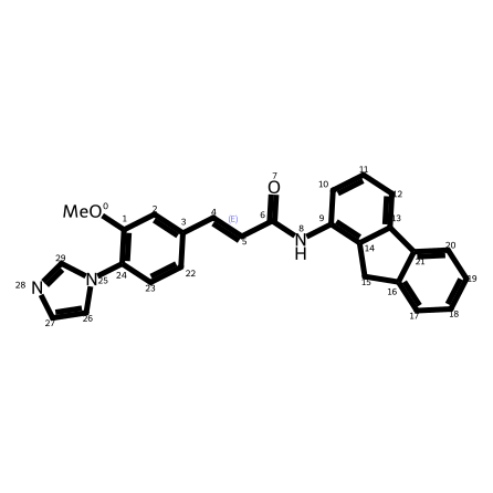 COc1cc(/C=C/C(=O)Nc2cccc3c2Cc2ccccc2-3)ccc1-n1ccnc1